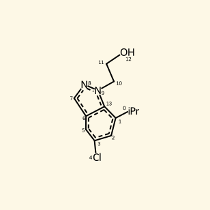 CC(C)c1cc(Cl)cc2cnn(CCO)c12